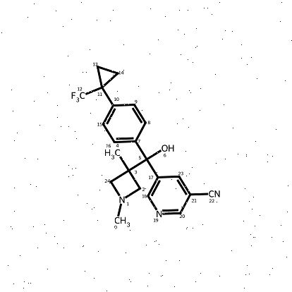 CN1CC(C)(C(O)(c2ccc(C3(C(F)(F)F)CC3)cc2)c2cncc(C#N)c2)C1